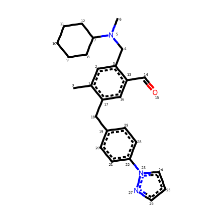 Cc1cc(CN(C)C2CCCCC2)c(C=O)cc1Cc1ccc(-n2cccn2)cc1